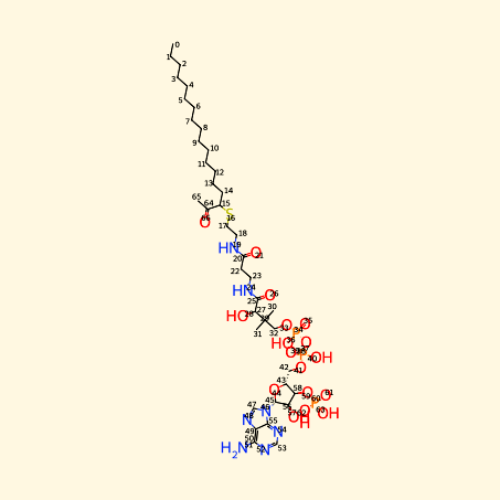 CCCCCCCCCCCCCCCC(SCCNC(=O)CCNC(=O)C(O)C(C)(C)COP(=O)(O)OP(=O)(O)OC[C@H]1O[C@@H](n2cnc3c(N)ncnc32)[C@H](O)[C@@H]1OP(=O)(O)O)C(C)=O